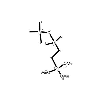 CO[Si](CC[Si](C)(C)O[Si](C)(C)C)(OC)OC